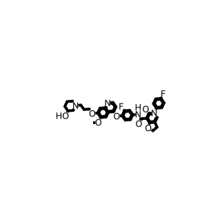 COc1cc2c(Oc3ccc(NC(=O)c4c5c(cn(-c6ccc(F)cc6)c4=O)CCO5)cc3F)ccnc2cc1OCCCN1CCCC(O)C1